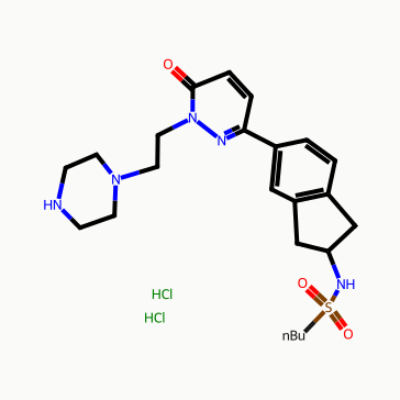 CCCCS(=O)(=O)NC1Cc2ccc(-c3ccc(=O)n(CCN4CCNCC4)n3)cc2C1.Cl.Cl